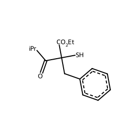 CCOC(=O)C(S)(Cc1ccccc1)C(=O)C(C)C